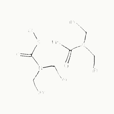 CC(C)CN(CC(C)C)C(=O)S.CCSC(=O)N(CC(C)C)CC(C)C